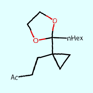 CCCCCCC1(C2(CCC(C)=O)CC2)OCCO1